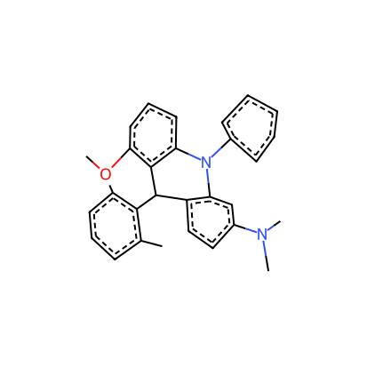 COc1cccc2c1C(c1c(C)cccc1C)c1ccc(N(C)C)cc1N2c1ccccc1